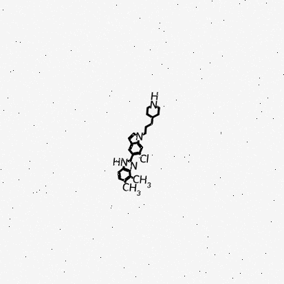 Cc1ccc2[nH]c(-c3cc4ccn(CCCC5CCNCC5)c4cc3Cl)nc2c1C